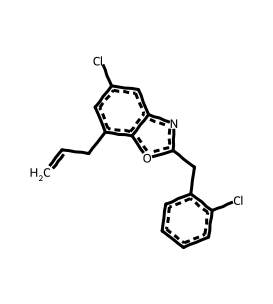 C=CCc1cc(Cl)cc2nc(Cc3ccccc3Cl)oc12